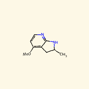 COc1ccnc2c1CC(C)N2